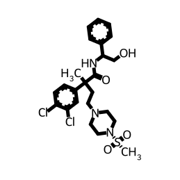 CC(CCN1CCN(S(C)(=O)=O)CC1)(C(=O)NC(CO)c1ccccc1)c1ccc(Cl)c(Cl)c1